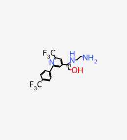 NCCN[C@@H](CO)c1cc(-c2ccc(C(F)(F)F)cc2)nc(C(F)(F)F)c1